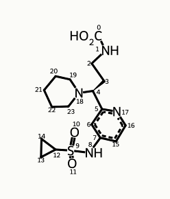 O=C(O)NCC[C@@H](c1cc(NS(=O)(=O)C2CC2)ccn1)N1CCCCC1